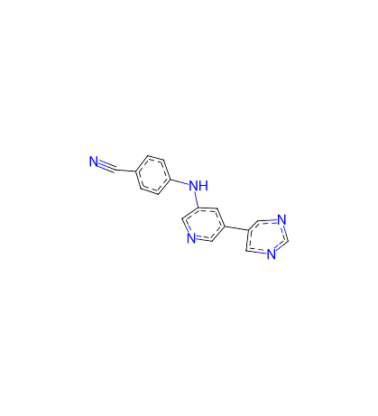 N#Cc1ccc(Nc2cncc(-c3cncnc3)c2)cc1